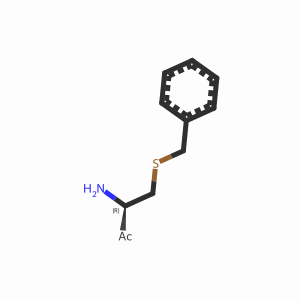 CC(=O)[C@@H](N)CSCc1ccccc1